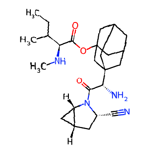 CCC(C)[C@H](NC)C(=O)OC12CC3CC(C1)CC([C@H](N)C(=O)N1[C@H](C#N)C[C@@H]4C[C@@H]41)(C3)C2